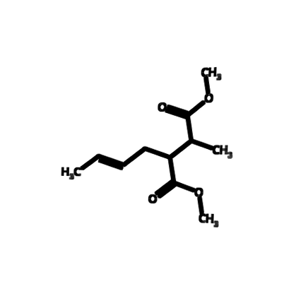 CC=CCC(C(=O)OC)C(C)C(=O)OC